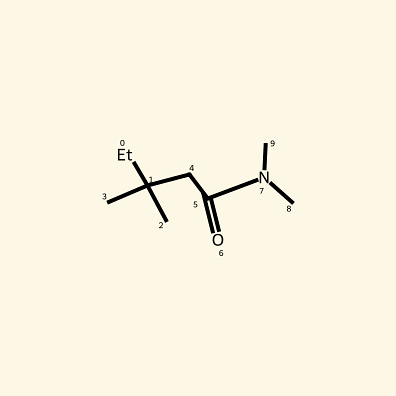 CCC(C)(C)CC(=O)N(C)C